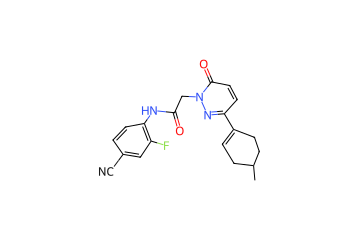 CC1CC=C(c2ccc(=O)n(CC(=O)Nc3ccc(C#N)cc3F)n2)CC1